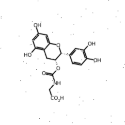 O=C(O)CNC(=O)O[C@@H]1Cc2c(O)cc(O)cc2O[C@@H]1c1ccc(O)c(O)c1